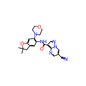 CC1(C)Cc2cc(NC(=O)c3cnn4cc(C#N)cnc34)c(N3CCOCC3)cc2O1